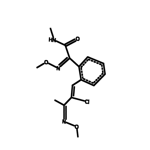 CNC(=O)C(=NOC)c1ccccc1C=C(Cl)/C(C)=N\OC